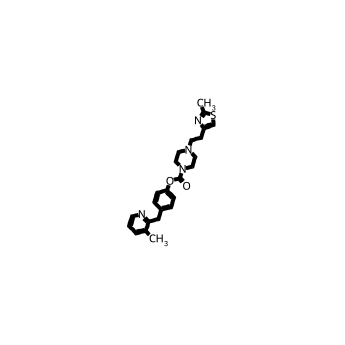 Cc1nc(CCN2CCN(C(=O)Oc3ccc(Cc4ncccc4C)cc3)CC2)cs1